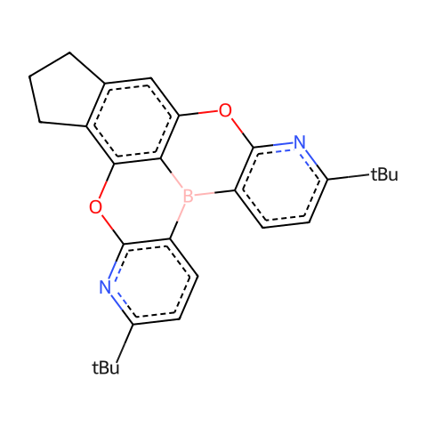 CC(C)(C)c1ccc2c(n1)Oc1cc3c(c4c1B2c1ccc(C(C)(C)C)nc1O4)CCC3